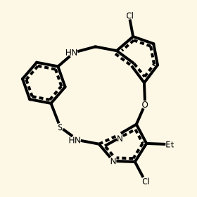 CCc1c(Cl)nc2nc1Oc1ccc(Cl)c(c1)CNc1cccc(c1)SN2